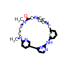 CN1CCCN(C)c2ccc(cn2)-c2ccnc(n2)Nc2cccc(c2)CN2CCN(CC2)CC1=O